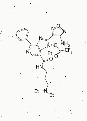 CCN(CC)CCCNC(=O)c1cnc(-c2ccccc2)c2c1[N+](CC)(OC(=O)C(F)(F)F)C(c1nonc1N)=N2